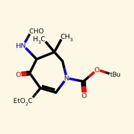 CCOC(=O)C1=CN(C(=O)OC(C)(C)C)CC(C)(C)C(NC=O)C1=O